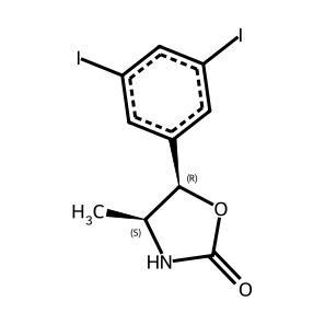 C[C@@H]1NC(=O)O[C@@H]1c1cc(I)cc(I)c1